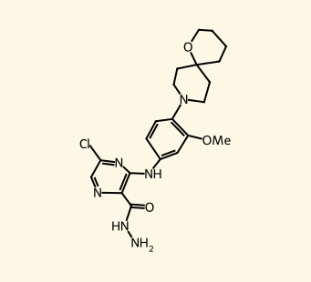 COc1cc(Nc2nc(Cl)cnc2C(=O)NN)ccc1N1CCC2(CCCCO2)CC1